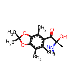 Bc1c(B)c(C(=O)[C@](C)(O)NC)c(B)c2c1OC(B)(B)O2